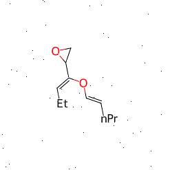 CCC=C(OC=CCCC)C1CO1